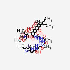 C/C=C\CCC(C)(I)c1nc(C(O)NCCC(=O)N[C@@H](C)C(=O)N[C@@H](C)C(=O)NCC2CN(C(=O)[C@]3(O)Cc4c(O)c5c(c(O)c4[C@@H](O[C@H]4C[C@H]6[C@H](O[C@@H]7[C@@H](OC)OCCN76)[C@H](C)O4)C3)C(=O)c3c(OC)cc(C(CCC)CCCC)cc3C5=O)C2)ccc1C#N